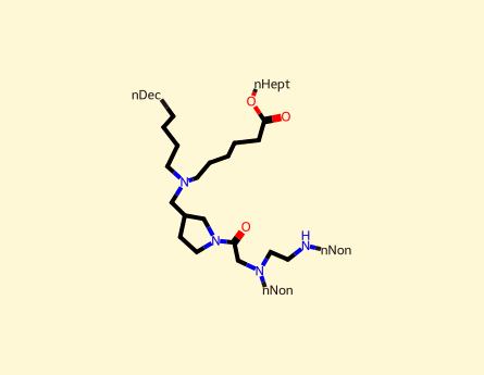 CCCCCCCCCCCCCCN(CCCCCC(=O)OCCCCCCC)CC1CCN(C(=O)CN(CCCCCCCCC)CCNCCCCCCCCC)C1